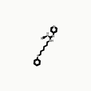 N#CNC(=Nc1ccncc1)NCCCCCCSc1ccccc1